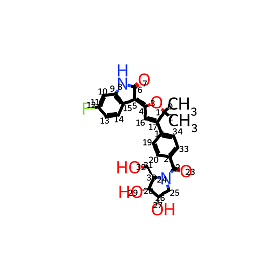 CC1(C)OC(=C2C(=O)Nc3cc(F)ccc32)C=C1c1ccc(C(=O)N2C[C@@H](O)[C@H](O)[C@H]2CO)cc1